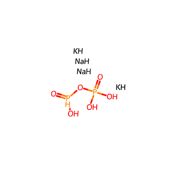 O=[PH](O)OP(=O)(O)O.[KH].[KH].[NaH].[NaH]